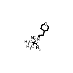 CC(C)(C)[S+]([O-])N=CCC1CCOCC1